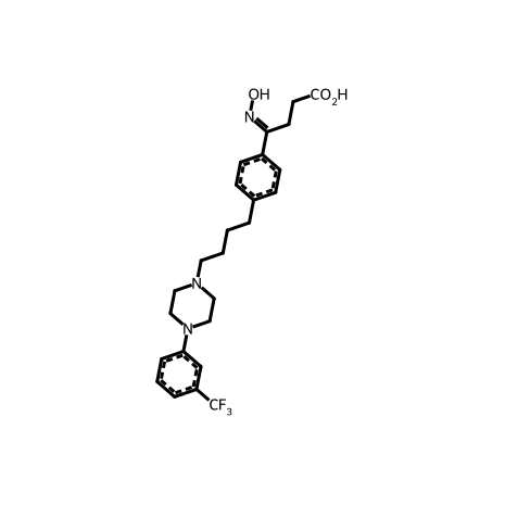 O=C(O)CCC(=NO)c1ccc(CCCCN2CCN(c3cccc(C(F)(F)F)c3)CC2)cc1